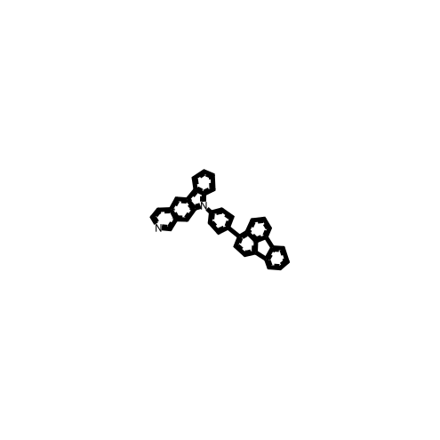 c1ccc2c(c1)-c1cccc3c(-c4ccc(-n5c6ccccc6c6cc7ccncc7cc65)cc4)ccc-2c13